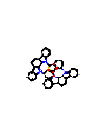 C1=CCC(n2c3c(c4ccccc42)C=CC2c4ccccc4N(c4ccc(N5c6ccccc6C6C=Cc7c(n(-c8ccccc8)c8ccccc78)C65)s4)C32)C=C1